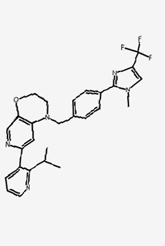 CC(C)c1ncccc1-c1cc2c(cn1)OCCN2Cc1ccc(-c2nc(C(F)(F)F)cn2C)cc1